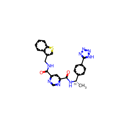 C[C@H](NC(=O)c1cc(C(=O)NCc2csc3ccccc23)ncn1)c1ccc(-c2nnn[nH]2)cc1